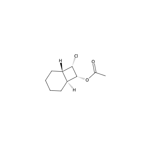 CC(=O)O[C@H]1[C@@H](Cl)[C@H]2CCCC[C@@H]21